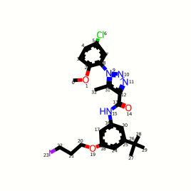 COc1ccc(Cl)cc1-n1nnc(C(=O)Nc2cc(OCCCI)cc(C(C)(C)C)c2)c1C